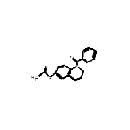 CC(=O)Oc1ccc2c(c1)CCCN2C(=O)c1ccccc1